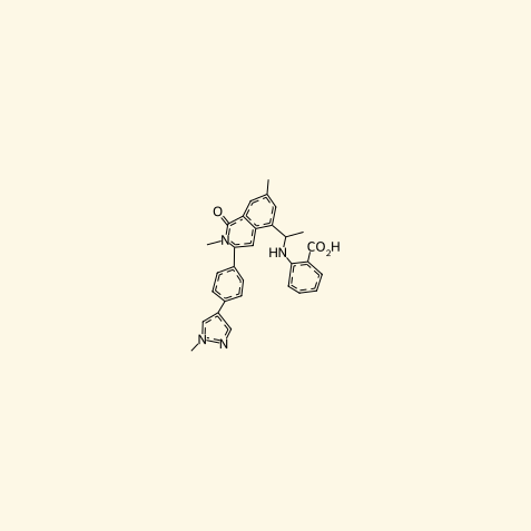 Cc1cc(C(C)Nc2ccccc2C(=O)O)c2cc(-c3ccc(-c4cnn(C)c4)cc3)n(C)c(=O)c2c1